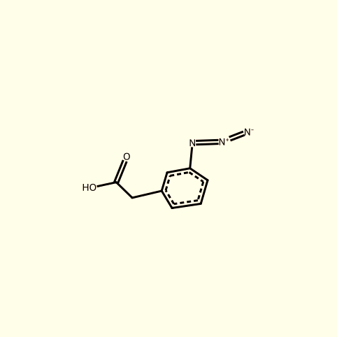 [N-]=[N+]=Nc1cccc(CC(=O)O)c1